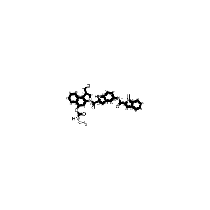 CNC(=O)Oc1cc2c(c3ccccc13)C(CCl)CN2C(=O)c1cc2cc(NC(=O)c3cc4ccccc4[nH]3)ccc2[nH]1